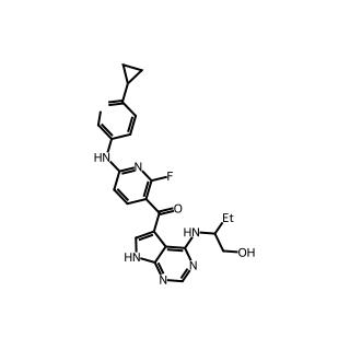 C=C(/C=C\C(=C/C)Nc1ccc(C(=O)c2c[nH]c3ncnc(NC(CC)CO)c23)c(F)n1)C1CC1